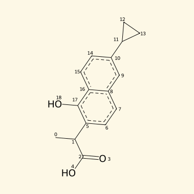 CC(C(=O)O)c1ccc2cc(C3CC3)ccc2c1O